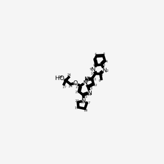 Cc1nc2ccccc2nc1-c1cc2nc(N3CCCC3)cc(OCC(C)(C)O)n2n1